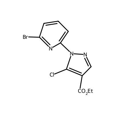 CCOC(=O)c1cnn(-c2cccc(Br)n2)c1Cl